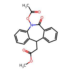 COC(=O)CC1c2ccccc2C(=O)N(OC(C)=O)c2ccccc21